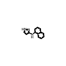 c1ccc2c(Nc3cc[nH]n3)cccc2c1